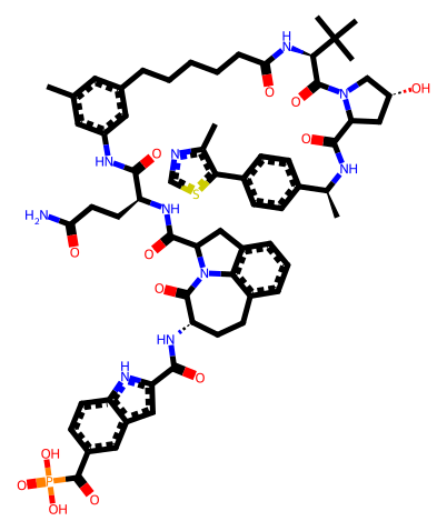 Cc1cc(CCCCCC(=O)N[C@H](C(=O)N2C[C@H](O)CC2C(=O)N[C@@H](C)c2ccc(-c3scnc3C)cc2)C(C)(C)C)cc(NC(=O)[C@H](CCC(N)=O)NC(=O)C2Cc3cccc4c3N2C(=O)[C@@H](NC(=O)c2cc3cc(C(=O)P(=O)(O)O)ccc3[nH]2)CC4)c1